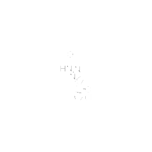 O=C(c1cc2cnc(NC3CCOCC3)nc2s1)c1ccccc1Cl